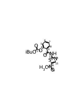 CC(C)COC(=O)Oc1ccccc1C(=O)Nc1ncc([N+](C)=O)s1